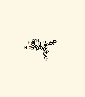 CC(C)(C)OC(=O)c1cc2c(NC(=O)C[C@H](NC(=O)OCc3ccc4c(c3)Cc3ccccc3-4)c3ccc(N4CCN(C5CCOCC5)CC4=O)cc3)cccc2n1C(=O)OC(C)(C)C